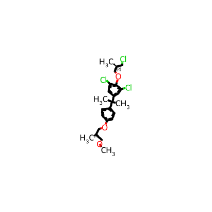 COC[C@@H](C)COc1ccc(C(C)(C)c2cc(Cl)c(OC[C@@H](C)CCl)c(Cl)c2)cc1